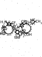 Cc1cnc(CN2CCCCC[C@](O)(C(F)(F)F)c3n[n+](-c4cc(CN5CCCCC[C@](O)(C(F)(F)F)c6nnc(o6)-c6nc(c(C(F)(F)F)cc6N)C5=O)ccc4CC(C)(C)C)c(o3)-c3nc(c(C(F)(F)F)cc3N)C2=O)nc1